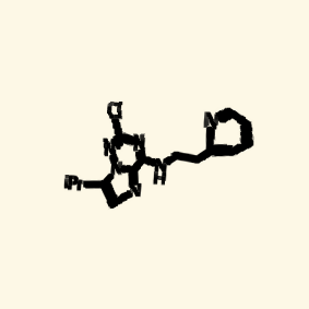 CC(C)c1cnc2c(NCCc3ccccn3)nc(Cl)nn12